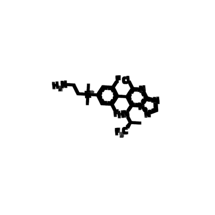 C[C@H](Nc1c(-c2c(F)cc([N+](C)(C)CCN)cc2F)c(Cl)nc2ncnn12)C(F)(F)F